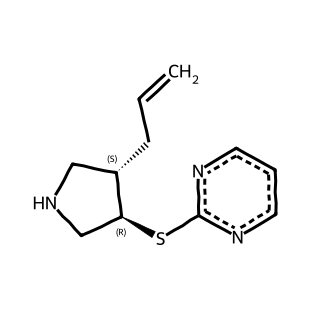 C=CC[C@H]1CNC[C@@H]1Sc1ncccn1